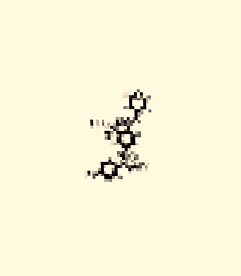 CCc1ccc(N(CC(C)C)S(=O)(=O)c2ccc(OCC3CCOCC3)c(S(C)(=N)=O)c2)cc1